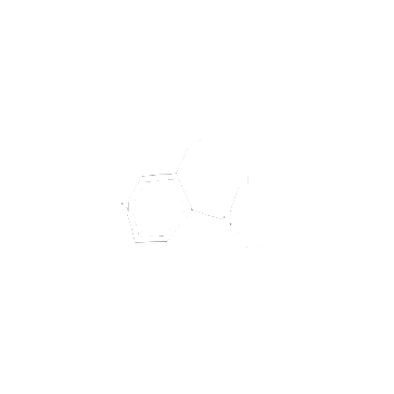 CN(C)c1ccncc1C(F)(F)F